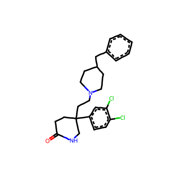 O=C1CCC(CCN2CCC(Cc3ccccc3)CC2)(c2ccc(Cl)c(Cl)c2)CN1